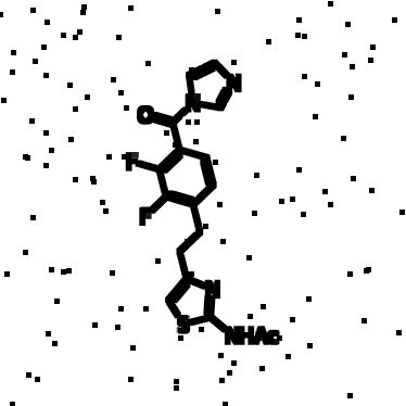 CC(=O)Nc1nc(CCc2ccc(C(=O)n3ccnc3)c(F)c2F)cs1